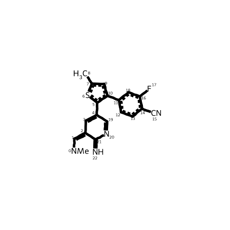 CN/C=C1/C=C(c2sc(C)cc2-c2ccc(C#N)c(F)c2)C=NC1=N